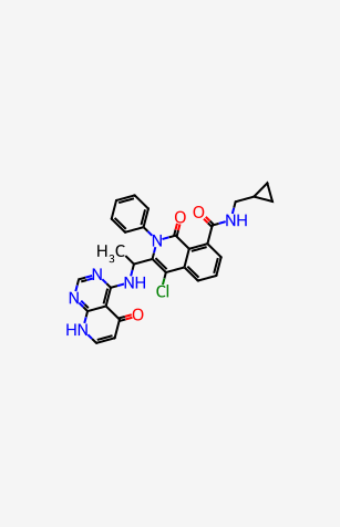 CC(Nc1ncnc2[nH]ccc(=O)c12)c1c(Cl)c2cccc(C(=O)NCC3CC3)c2c(=O)n1-c1ccccc1